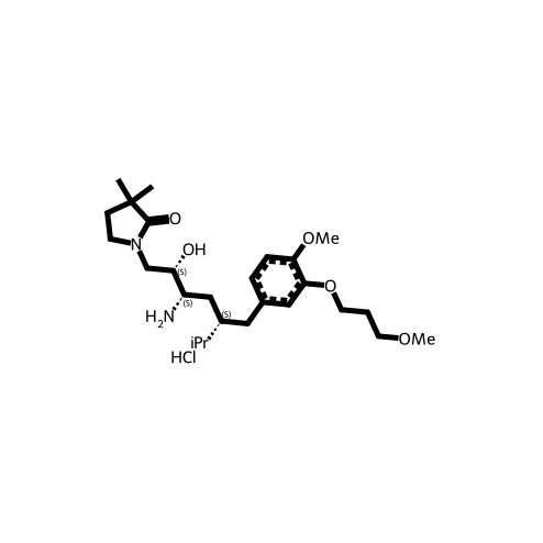 COCCCOc1cc(C[C@@H](C[C@H](N)[C@@H](O)CN2CCC(C)(C)C2=O)C(C)C)ccc1OC.Cl